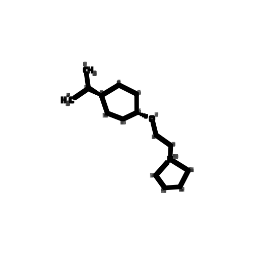 CC(C)[C@H]1CC[C@H](OCCN2CCCC2)CC1